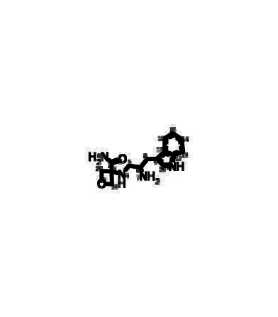 NC(=O)C1(NCC(N)Cc2c[nH]c3ccccc23)COC1